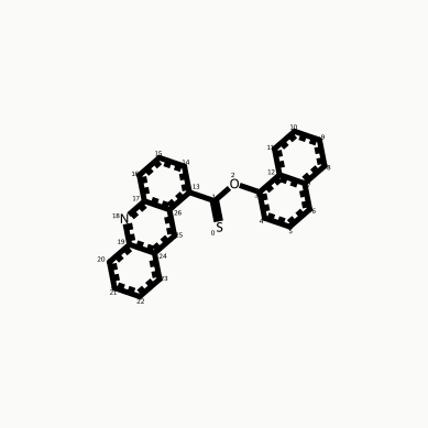 S=C(Oc1cccc2ccccc12)c1cccc2nc3ccccc3cc12